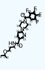 CC(C)OCCCNC(=O)c1ccc(N2CCN(C(=O)c3cc(F)c(F)c(F)c3F)CC2)nc1